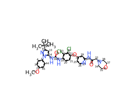 COc1ccc(-n2nc(C(C)(C)C)cc2NC(=O)Nc2ccc(Oc3ccnc(NC(=O)CN4CCOCC4)c3)c(Cl)c2Cl)cc1